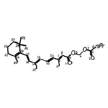 CCCC(=O)OCOC(=O)/C=C(\C)C=CC=C(C)C=CC1=C(C)CCCC1(C)C